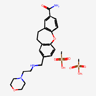 CS(=O)(=O)O.CS(=O)(=O)O.NC(=O)c1ccc2c(c1)CCc1cc(CNCCN3CCOCC3)ccc1O2